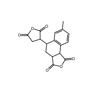 Cc1ccc2c(c1)C(C1CC(=O)OC1=O)CC1C(=O)OC(=O)C21